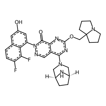 O=c1c2nc(OCC34CCCN3CCC4)nc(N3C[C@H]4CC[C@@H](C3)N4)c2cnn1-c1cc(O)cc2ccc(F)c(F)c12